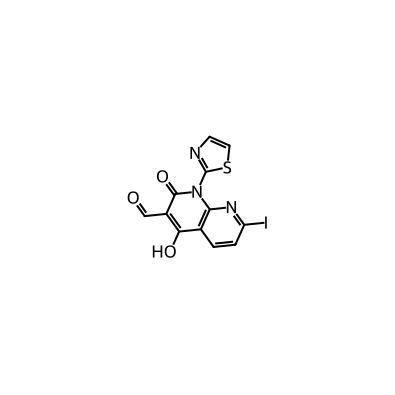 O=Cc1c(O)c2ccc(I)nc2n(-c2nccs2)c1=O